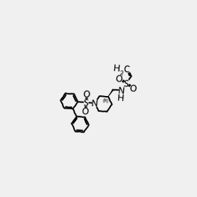 C=CS(=O)(=O)NC[C@H]1CCCN(S(=O)(=O)c2ccccc2-c2ccccc2)C1